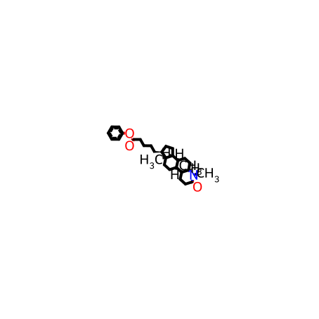 CN1C(=O)CC[C@]2(C)[C@H]3CC[C@]4(C)[C@@H](CCCCC(=O)Oc5ccccc5)CC[C@H]4[C@@H]3CC[C@@H]12